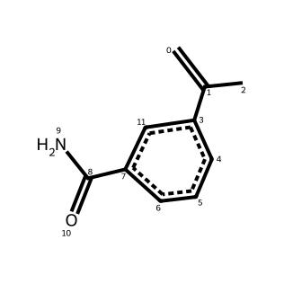 C=C(C)c1cccc(C(N)=O)c1